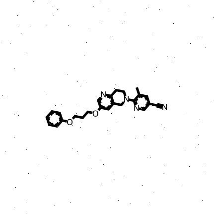 Cc1cc(C#N)cnc1N1CCc2ncc(OCCCOc3ccccc3)cc2C1